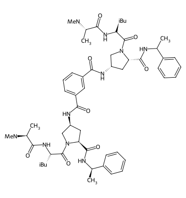 CC[C@H](C)C(NC(=O)[C@H](C)NC)C(=O)N1C[C@@H](NC(=O)c2cccc(C(=O)N[C@H]3C[C@@H](C(=O)N[C@H](C)c4ccccc4)N(C(=O)C(NC(=O)[C@H](C)NC)[C@@H](C)CC)C3)c2)C[C@H]1C(=O)NC(C)c1ccccc1